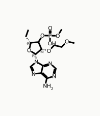 CC[C@H]1O[C@@H](n2cnc3c(N)ncnc32)[C@@H](OCCOC)C1OP(=O)(O)OC